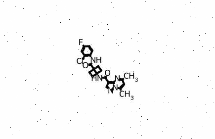 Cc1cc(C)n2ncc(C(=O)NC34CCC3(C(=O)Nc3ccc(F)cc3Cl)CC4)c2n1